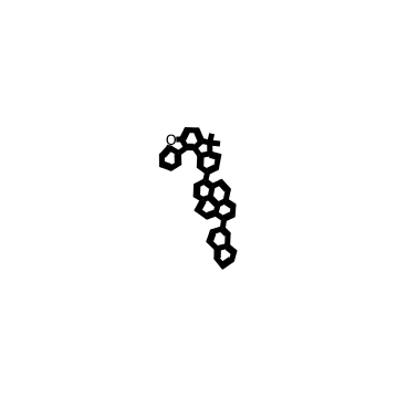 CC1(C)c2ccc(-c3ccc4ccc5c(-c6ccc7ccccc7c6)ccc6ccc3c4c65)cc2-c2c1ccc1oc3ccccc3c21